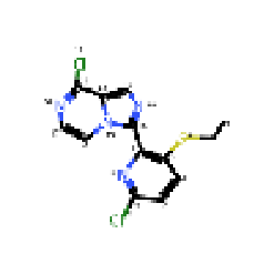 CCSc1ccc(Cl)nc1-c1ncc2c(Cl)nccn12